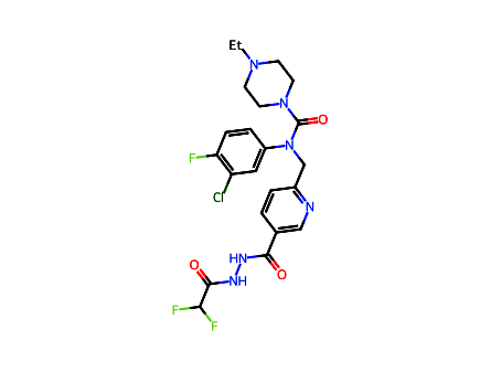 CCN1CCN(C(=O)N(Cc2ccc(C(=O)NNC(=O)C(F)F)cn2)c2ccc(F)c(Cl)c2)CC1